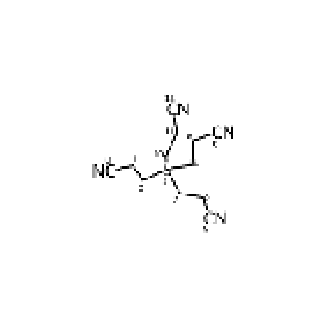 N#CCCS(CCC#N)(CCC#N)CCC#N